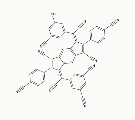 N#CC1=C(c2ccc(C#N)cc2)/C(=C(\C#N)c2cc(O)cc(C#N)c2)c2cc3c(cc21)/C(=C(/C#N)c1cc(C#N)cc(C#N)c1)C(c1ccc(C#N)cc1)=C3C#N